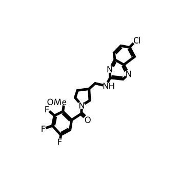 COc1c(C(=O)N2CCC(CNc3cnc4cc(Cl)ccc4n3)C2)cc(F)c(F)c1F